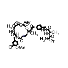 COc1ccc(C[C@H]2NC(=O)/C=C/C[C@@H]([C@H](C)[C@H]3O[C@@H]3c3ccc(CNC(=O)[C@H](C)NC(=O)[C@@H](N)C(C)C)cc3)OC(=O)[C@H](CC(C)C)OC(=O)C(C)(C)CNC2=O)cc1Cl